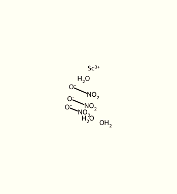 O.O.O.O=[N+]([O-])[O-].O=[N+]([O-])[O-].O=[N+]([O-])[O-].[Sc+3]